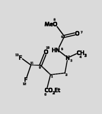 CCOC(=O)C(CN(C)NC(=O)OC)C(=O)C(F)F